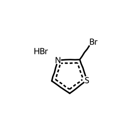 Br.Brc1nccs1